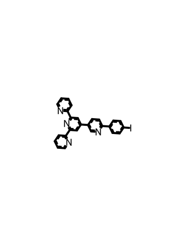 Ic1ccc(-c2ccc(-c3cc(-c4ccccn4)nc(-c4ccccn4)c3)cn2)cc1